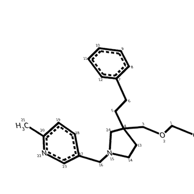 CCOCC1(CCc2ccccc2)CCN(Cc2ccc(C)nc2)C1